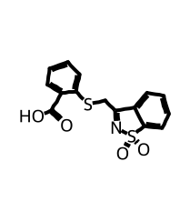 O=C(O)c1ccccc1SCC1=NS(=O)(=O)c2ccccc21